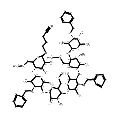 C#CCCCOC1OC(COS(=O)(=O)O)[C@@H](O[C@@H]2OC(C)C(O[C@@H]3OC(COS(=O)(=O)O)[C@@H](O[C@@H]4OC(C)[C@@H](O[C@@H]5OC(COS(=O)(=O)O)[C@@H](O[C@@H]6OC(C)[C@@H](C)[C@@H](OCc7ccccc7)C6C)[C@H](C)C5C)[C@@H](OCc5ccccc5)C4C)[C@H](C)C3C)[C@@H](OCc3ccccc3)C2C)[C@H](C)C1C